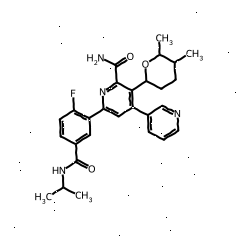 CC(C)NC(=O)c1ccc(F)c(-c2cc(-c3cccnc3)c(C3CCC(C)C(C)O3)c(C(N)=O)n2)c1